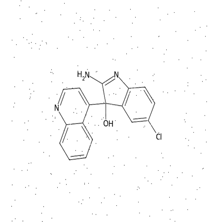 NC1=Nc2ccc(Cl)cc2C1(O)c1ccnc2ccccc12